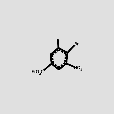 CCOC(=O)c1cc(C)c(Br)c([N+](=O)[O-])c1